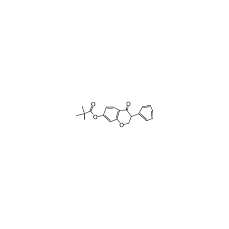 CC(C)(C)C(=O)Oc1ccc2c(c1)OCC(c1ccccc1)C2=O